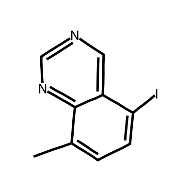 Cc1ccc(I)c2cncnc12